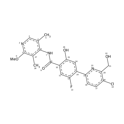 COc1ncc(C)c(NC(=O)c2cc(F)c(-c3ccc(Cl)c(CO)n3)cc2O)c1C